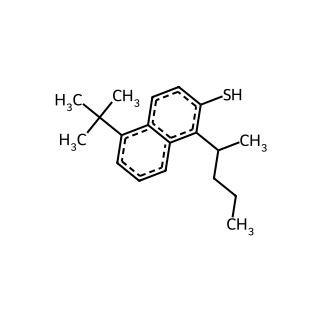 CCCC(C)c1c(S)ccc2c(C(C)(C)C)cccc12